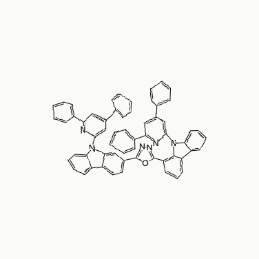 c1ccc(-c2cc(-c3ccccc3)nc(-n3c4ccccc4c4ccc(-c5nnc(-c6cccc7c8ccccc8n(-c8cc(-c9ccccc9)cc(-c9ccccc9)n8)c67)o5)cc43)c2)cc1